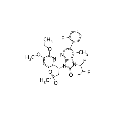 CCOc1nc(C(CS(C)(=O)=O)n2c(=O)n(C(F)C(F)F)c3c(C)c(-c4ccccc4F)cnc32)ccc1OC